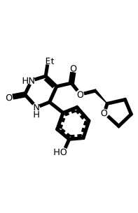 CCC1=C(C(=O)OC[C@H]2CCCO2)C(c2cccc(O)c2)NC(=O)N1